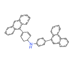 C1=CC(Nc2ccc(-c3cc4ccccc4c4ccccc34)cc2)CC=C1c1c2ccccc2cc2ccccc12